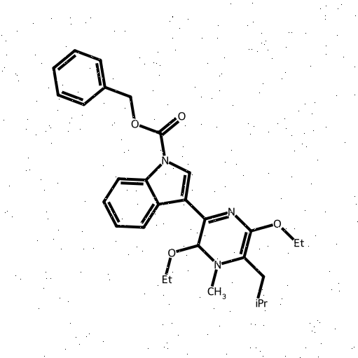 CCOC1=C(CC(C)C)N(C)C(OCC)C(c2cn(C(=O)OCc3ccccc3)c3ccccc23)=N1